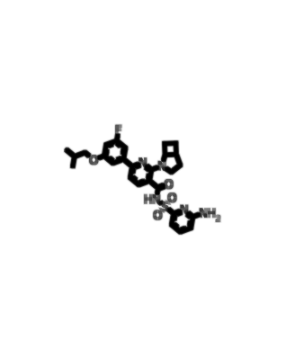 CC(C)COc1cc(F)cc(-c2ccc(C(=O)NS(=O)(=O)c3cccc(N)n3)c(N3CCC4CCC43)n2)c1